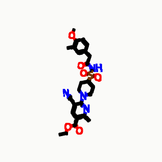 CCOC(=O)c1cc(C#N)c(N2CCC(S(=O)(=O)NC(=O)Cc3ccc(OC)c(C)c3)CC2)nc1C